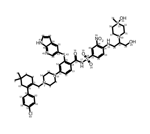 CC1(C)CCC(CN2CCN(c3ccc(C(=O)NS(=O)(=O)c4ccc(NCC(CO)N5CC[P](C)(O)CC5)c([N+](=O)[O-])c4)c(Sc4cnc5[nH]ccc5c4)c3)CC2)=C(c2ccc(Cl)cc2)C1